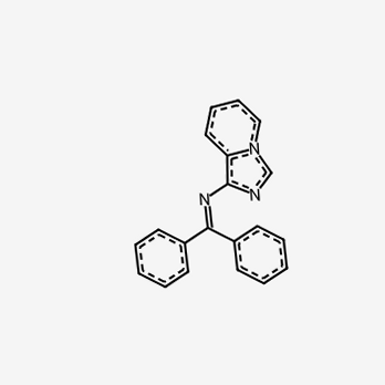 c1ccc(C(=Nc2ncn3ccccc23)c2ccccc2)cc1